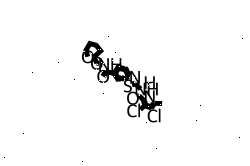 Cc1[nH]c(C(=O)Nc2nc3ccc(C(=O)NOC4CCCCO4)cc3s2)c(Cl)c1Cl